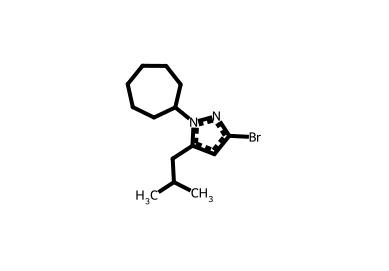 CC(C)Cc1cc(Br)nn1C1CCCCCC1